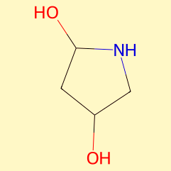 OC1CNC(O)C1